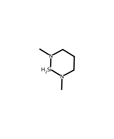 CN1CCCN(C)[SiH2]1